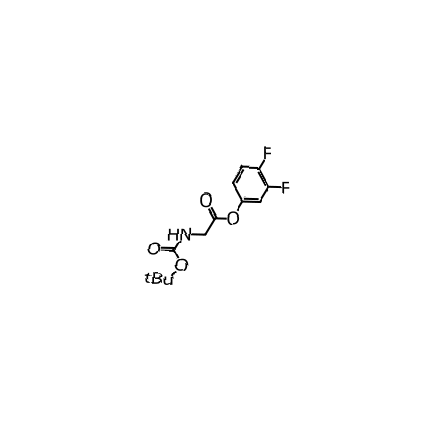 CC(C)(C)OC(=O)NCC(=O)Oc1ccc(F)c(F)c1